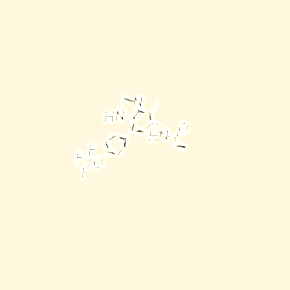 C=CC(=O)NCc1cc(-c2ccc(OC(F)(F)F)cc2)c2c(c1C)N=CCN2